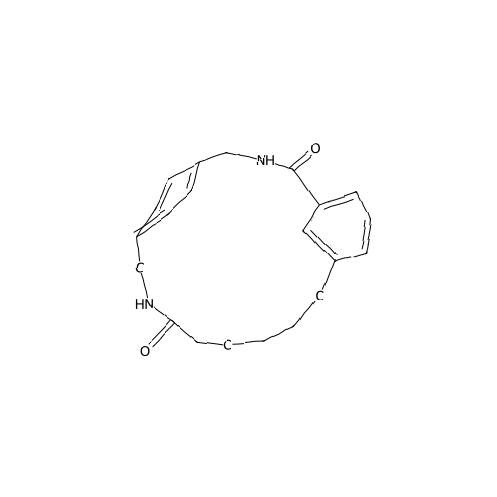 O=C1CCCCCc2cccc(c2)C(=O)NCc2ccc(cc2)CN1